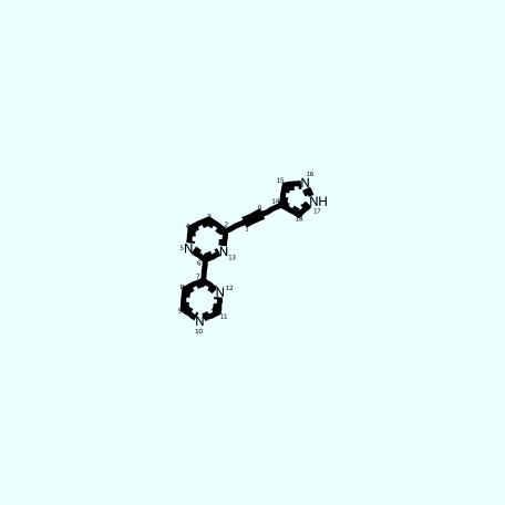 C(#Cc1ccnc(-c2ccncn2)n1)c1cn[nH]c1